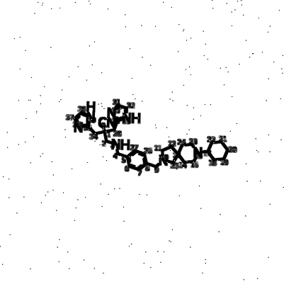 N#CC(CNCc1ccc(CN2CCC3(CCN(C4CCCCC4)CC3)C2)cc1)(Cc1ncc[nH]1)Cc1ncc[nH]1